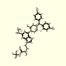 C[C@@H]1CN(c2nc(NN)nc3c2ncn3CCN(C)C(=O)OC(C)(C)C)[C@@H](C)CN1C(c1ccc(Cl)cc1)c1ccc(Cl)cc1